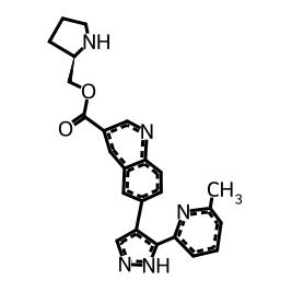 Cc1cccc(-c2[nH]ncc2-c2ccc3ncc(C(=O)OC[C@H]4CCCN4)cc3c2)n1